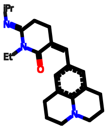 CCN1C(=O)/C(=C\c2cc3c4c(c2)CCCN4CCC3)CCC1=NC(C)C